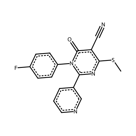 CSc1nc(-c2cccnc2)n(-c2ccc(F)cc2)c(=O)c1C#N